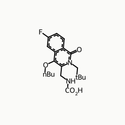 CCCCOc1c(CNC(=O)O)n(CC(C)(C)C)c(=O)c2ccc(F)cc12